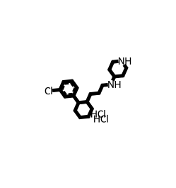 Cl.Cl.Clc1cccc(C2CCCCC2CCCNC2CCNCC2)c1